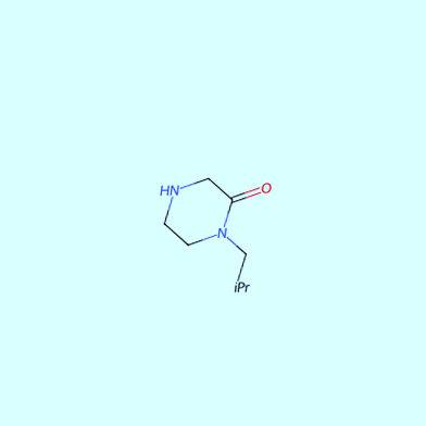 CC(C)CN1CCNCC1=O